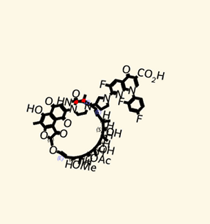 CO[C@H]1/C=C/O[C@@]2(C)Oc3c(C)c(O)c4c(c3C2=O)C(=O)C(N2CCN(C3CCN(c5nc6c(cc5F)c(=O)c(C(=O)O)cn6-c5ccc(F)cc5F)C3)CC2)=C(NC(=O)/C(C)=C\C=C\[C@H](C)[C@H](O)[C@@H](C)[C@@H](O)[C@@H](C)[C@H](OC(C)=O)[C@@H]1C)C4=O